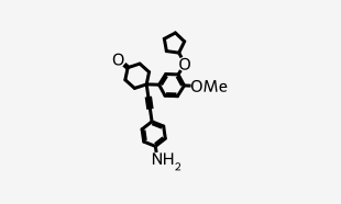 COc1ccc(C2(C#Cc3ccc(N)cc3)CCC(=O)CC2)cc1OC1CCCC1